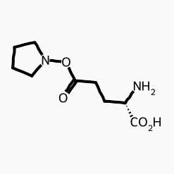 N[C@@H](CCC(=O)ON1CCCC1)C(=O)O